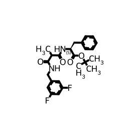 CC(C(=O)NCc1cc(F)cc(F)c1)C(=O)N[C@@H](Cc1ccccc1)C(=O)OC(C)(C)C